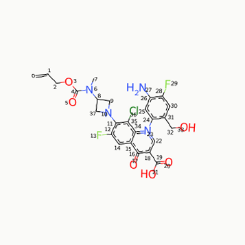 C=CCOC(=O)N(C)C1CN(c2c(F)cc3c(=O)c(C(=O)O)cn(-c4cc(N)c(F)cc4CO)c3c2Cl)C1